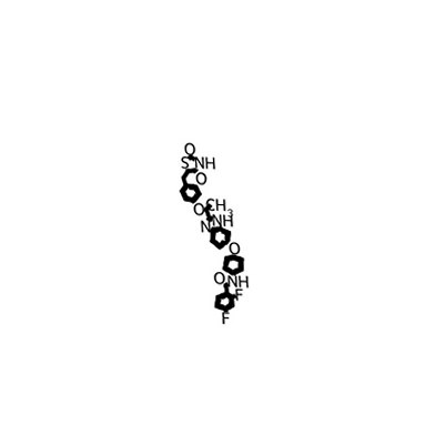 CC(Oc1ccc(CC2SC(=O)NC2=O)cc1)c1nc2ccc(Oc3ccc(NC(=O)c4ccc(F)cc4F)cc3)cc2[nH]1